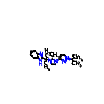 CC(C)n1ccc(N2C=CN(C(C)(C)c3nc4ccccc4[nH]3)[C@@H]2C)n1